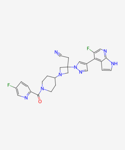 N#CCC1(n2cc(-c3c(F)cnc4[nH]ccc34)cn2)CN(C2CCN(C(=O)c3ccc(F)cn3)CC2)C1